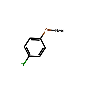 CNSc1ccc(Cl)cc1